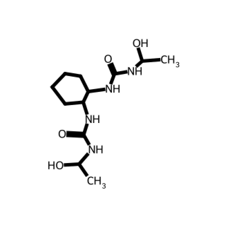 CC(O)NC(=O)NC1CCCCC1NC(=O)NC(C)O